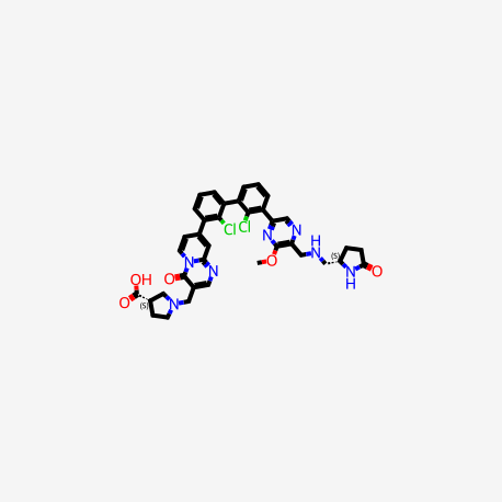 COc1nc(-c2cccc(-c3cccc(-c4ccn5c(=O)c(CN6CC[C@H](C(=O)O)C6)cnc5c4)c3Cl)c2Cl)cnc1CNC[C@@H]1CCC(=O)N1